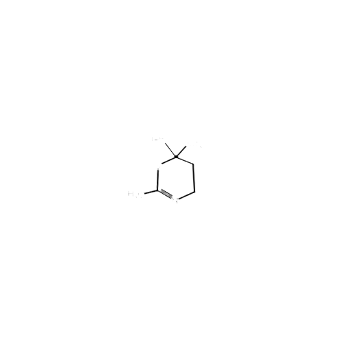 CCCC1(C)CCN=C(C)S1